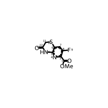 COC(=O)c1nc2c(cc1F)SCC(=O)N2